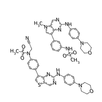 CS(=O)(=O)N(CC#N)c1ccc(-c2csc3cnc(Nc4ccc(N5CCOCC5)cc4)nc23)cc1.Cn1cc(-c2cccc(NS(C)(=O)=O)c2)c2nc(Nc3ccc(N4CCOCC4)cc3)ncc21